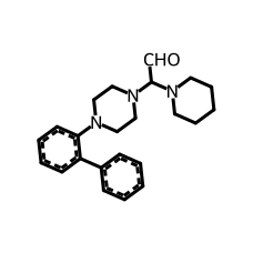 O=CC(N1CCCCC1)N1CCN(c2ccccc2-c2ccccc2)CC1